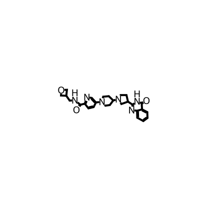 O=C(NCC1COC1)c1ccc(N2CCC(N3CCC(c4nc5ccccc5c(=O)[nH]4)C3)CC2)cn1